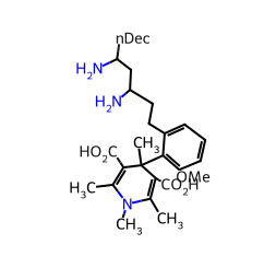 CCCCCCCCCCC(N)CC(N)CCc1cccc(OC)c1C1(C)C(C(=O)O)=C(C)N(C)C(C)=C1C(=O)O